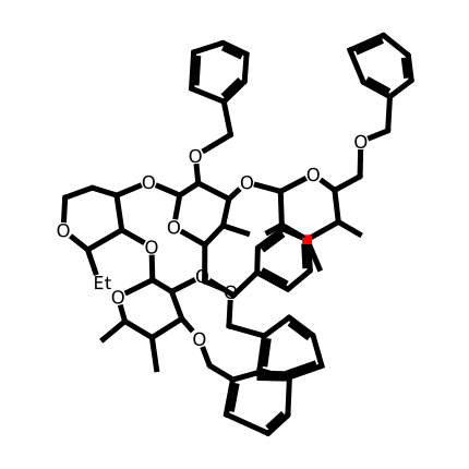 CCC1OCCC(OC2OC(COCc3ccccc3)C(C)C(OC3OC(COCc4ccccc4)C(C)C(C)C3C)C2OCc2ccccc2)C1OC1OC(C)C(C)C(OCc2ccccc2)C1OCc1ccccc1